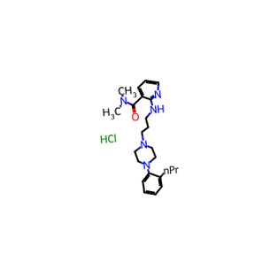 CCCc1ccccc1N1CCN(CCCNc2ncccc2C(=O)N(C)C)CC1.Cl